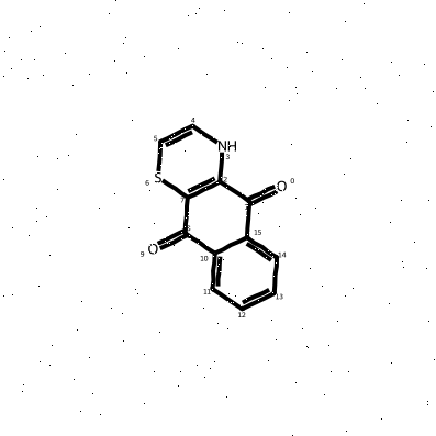 O=c1c2[nH]ccsc=2c(=O)c2ccccc12